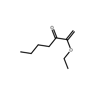 C=C(OCC)C(=O)CCCC